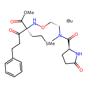 CC[C@H](C)[C@@H](CON[C@@](CCSC)(C(=O)CCc1ccccc1)C(=O)OC)N(C)C(=O)[C@@H]1CCC(=O)N1